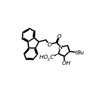 CC(C)(C)C1CN(C(=O)OCC2c3ccccc3-c3ccccc32)[C@H](C(=O)O)C1O